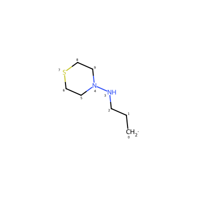 [CH2]CCNN1CCSCC1